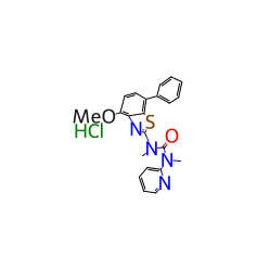 COc1ccc(-c2ccccc2)c2sc(N(C)C(=O)N(C)c3ccccn3)nc12.Cl